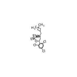 CC[Si](CC)(CC)OC(CNCC1CC(C)(C)C1)c1c(Cl)cc(Cl)cc1Cl